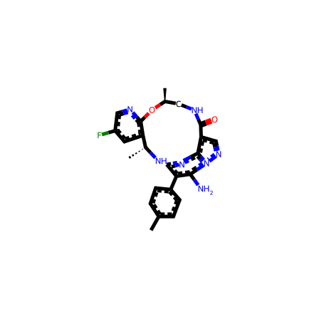 Cc1ccc(-c2c3nc4c(cnn4c2N)C(=O)NC[C@H](C)Oc2ncc(F)cc2[C@@H](C)N3)cc1